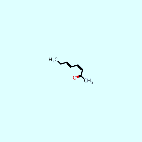 CCC=C/C=C\C(C)=O